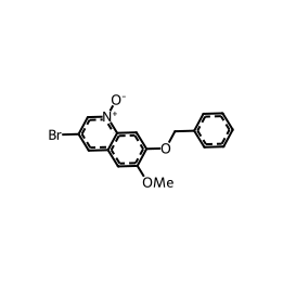 COc1cc2cc(Br)c[n+]([O-])c2cc1OCc1ccccc1